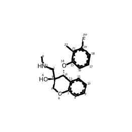 CNC[C@@]1(O)COc2ccccc2[C@H]1Oc1cccc(F)c1C